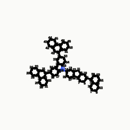 c1ccc2c(-c3ccc4c(c3)Cc3cc(-n5c6ccc(-c7cc8ccccc8c8ccccc78)cc6c6cc(-c7cc8ccccc8c8ccccc78)ccc65)ccc3-4)cccc2c1